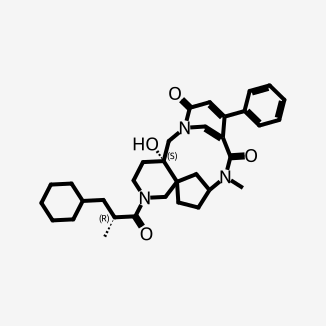 C[C@H](CC1CCCCC1)C(=O)N1CC[C@@]2(O)Cn3cc(c(-c4ccccc4)cc3=O)C(=O)N(C)C3CCC2(C3)C1